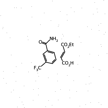 CCOC(=O)/C=C/C(=O)O.NC(=O)c1cccc(C(F)(F)F)c1